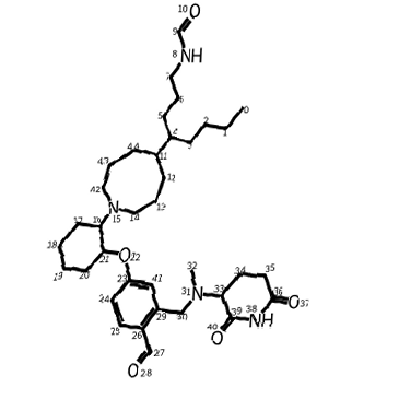 CCCCC(CCCNC=O)C1CCCN(C2CCCCC2Oc2ccc(C=O)c(CN(C)C3CCC(=O)NC3=O)c2)CCC1